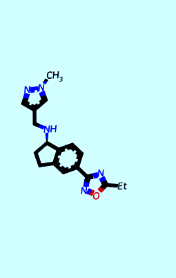 CCc1nc(-c2ccc3c(c2)CC[C@H]3NCc2cnn(C)c2)no1